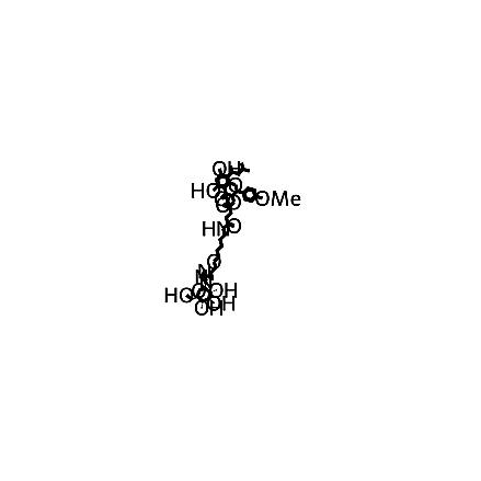 COc1ccc(C2Oc3c(c(O)cc(O)c3C(C)C=C(C)C)C(=O)C2OC(=O)CCC(=O)NCCCCCOCc2cn([C@@H]3O[C@H](CO)[C@@H](O)[C@H](O)[C@H]3O)nn2)cc1